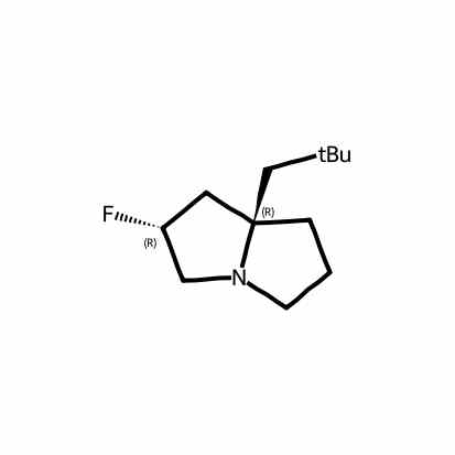 CC(C)(C)C[C@@]12CCCN1C[C@H](F)C2